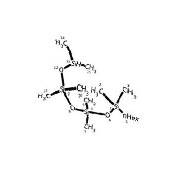 CCC[CH]CC[Si](C)(C)O[Si](C)(C)O[Si](C)(C)O[SiH](C)C